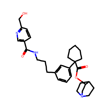 O=C(NCCCc1cccc(C2(C(=O)OC3CN4CCC3CC4)CCCCC2)c1)c1ccc(CO)nc1